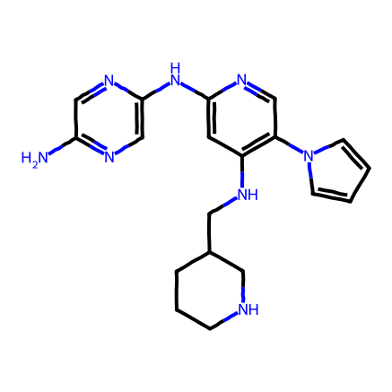 Nc1cnc(Nc2cc(NCC3CCCNC3)c(-n3cccc3)cn2)cn1